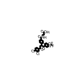 O=C(O)CCNC(=O)c1ccc(C(CC(=O)c2ccc(Cl)c(Cl)c2)C(=O)c2ccc(OC(F)(F)F)cc2)cc1